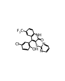 O=c1[nH]c2ccc(C(F)(F)F)cc2c(-c2cc(Cl)ccc2O)c1Sc1ncccn1